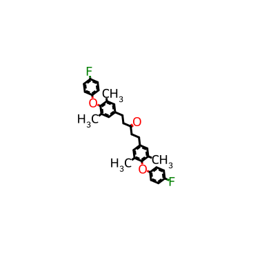 Cc1cc(CCC(=O)CCc2cc(C)c(Oc3ccc(F)cc3)c(C)c2)cc(C)c1Oc1ccc(F)cc1